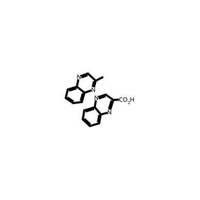 Cc1cnc2ccccc2n1.O=C(O)c1cnc2ccccc2n1